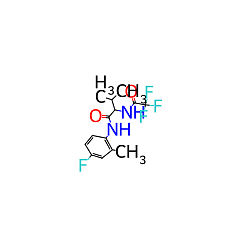 Cc1cc(F)ccc1NC(=O)C(NC(=O)C(F)(F)F)C(C)C